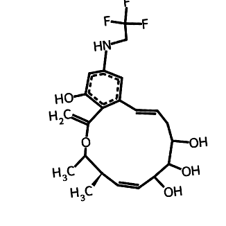 C=C1OC(C)[C@H](C)/C=C\C(O)C(O)C(O)C/C=C/c2cc(NCC(F)(F)F)cc(O)c21